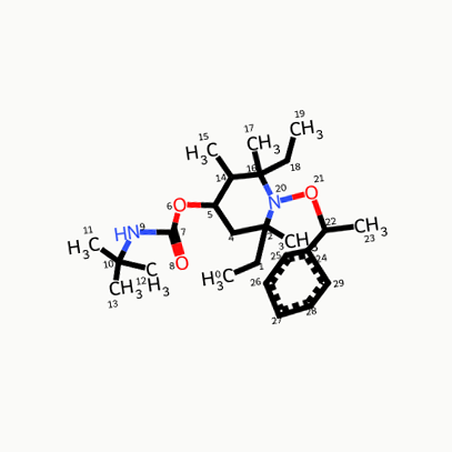 CCC1(C)CC(OC(=O)NC(C)(C)C)C(C)C(C)(CC)N1OC(C)c1ccccc1